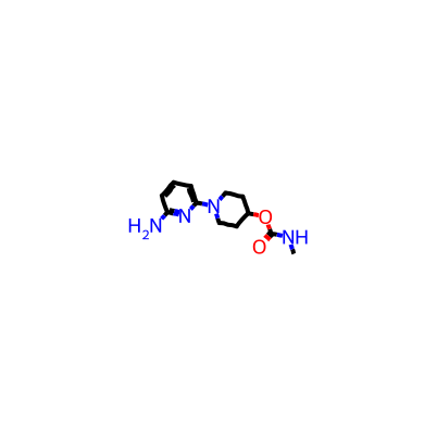 CNC(=O)OC1CCN(c2cccc(N)n2)CC1